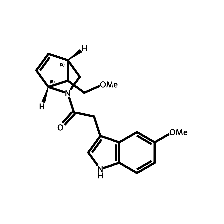 COCC1[C@@H]2C=C[C@H]1N(C(=O)Cc1c[nH]c3ccc(OC)cc13)C2